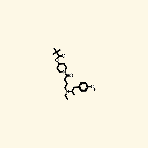 CCN(CCCC(=O)N1CCC(OC(=O)C(C)(C)C)CC1)C(C)Cc1ccc(OC)cc1